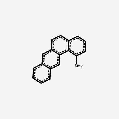 [SiH2]c1cccc2ccc3cc4ccccc4cc3c12